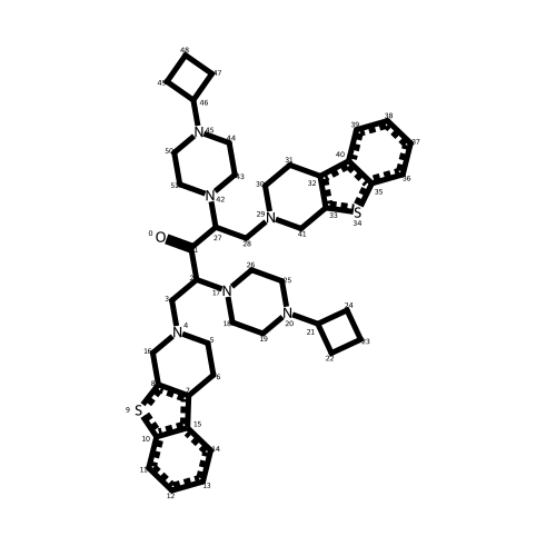 O=C(C(CN1CCc2c(sc3ccccc23)C1)N1CCN(C2CCC2)CC1)C(CN1CCc2c(sc3ccccc23)C1)N1CCN(C2CCC2)CC1